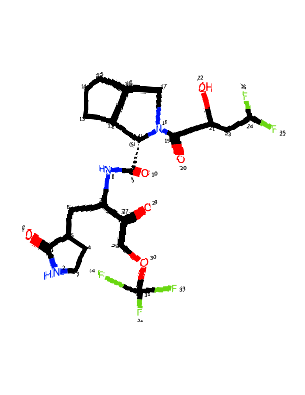 O=C1NCCC1CC(NC(=O)[C@@H]1C2CCCC2CN1C(=O)C(O)CC(F)F)C(=O)COC(F)(F)F